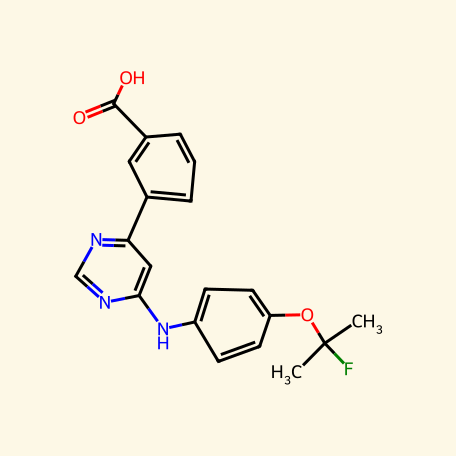 CC(C)(F)Oc1ccc(Nc2cc(-c3cccc(C(=O)O)c3)ncn2)cc1